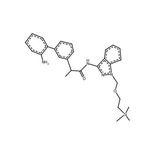 CC(C(=O)Nc1nn(COCC[Si](C)(C)C)c2ccccc12)c1cccc(-c2ccccc2N)c1